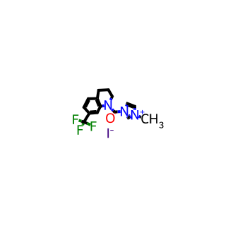 C[n+]1ccn(C(=O)N2CCCc3ccc(C(F)(F)F)cc32)c1.[I-]